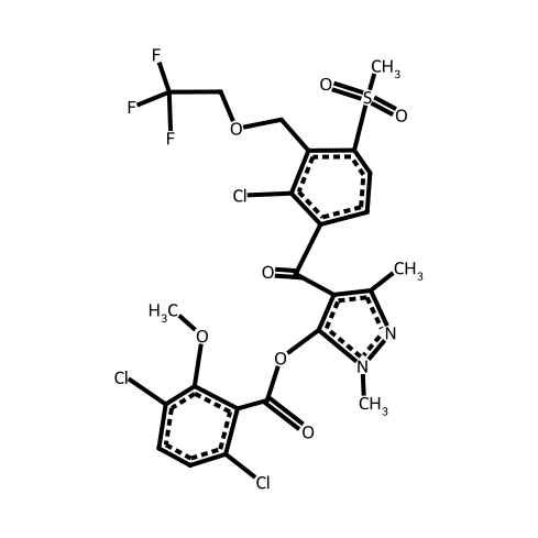 COc1c(Cl)ccc(Cl)c1C(=O)Oc1c(C(=O)c2ccc(S(C)(=O)=O)c(COCC(F)(F)F)c2Cl)c(C)nn1C